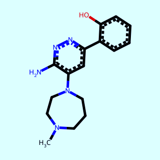 CN1CCCN(c2cc(-c3ccccc3O)nnc2N)CC1